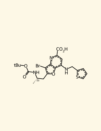 C[C@@H](Cc1oc2c(NCc3cccs3)cc(C(=O)O)nc2c1Br)NC(=O)OC(C)(C)C